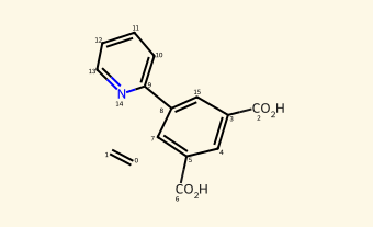 C=C.O=C(O)c1cc(C(=O)O)cc(-c2ccccn2)c1